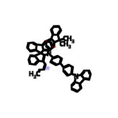 C=C/C=C\C1=C(N(c2ccc(-c3ccc(-n4c5ccccc5c5ccccc54)cc3)cc2)c2ccc3c(c2)C(C)(C)c2ccccc2-3)C2(c3ccccc31)c1ccccc1-c1ccccc12